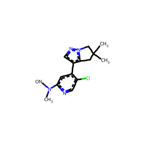 CN(N=O)c1cc(-c2cnn3c2CC(C)(C)C3)c(Cl)cn1